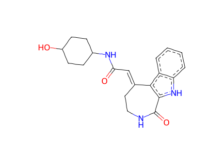 O=C(C=C1CCNC(=O)c2[nH]c3ccccc3c21)NC1CCC(O)CC1